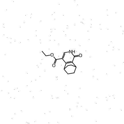 CCOC(=O)c1c[nH]c(=O)c2c1C1CCC2CC1